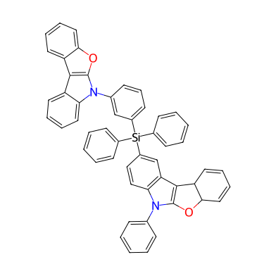 C1=CC2Oc3c(c4cc([Si](c5ccccc5)(c5ccccc5)c5cccc(-n6c7ccccc7c7c8ccccc8oc76)c5)ccc4n3-c3ccccc3)C2C=C1